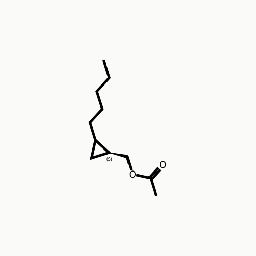 CCCCCC1C[C@@H]1COC(C)=O